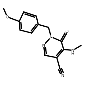 CNc1c(C#N)cnn(Cc2ccc(OC)cc2)c1=O